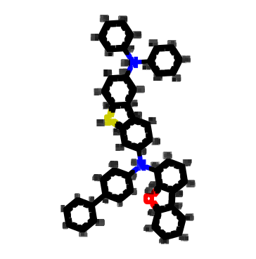 c1ccc(-c2ccc(N(c3ccc4c(c3)sc3ccc(N(c5ccccc5)c5ccccc5)cc34)c3cccc4c3oc3ccccc34)cc2)cc1